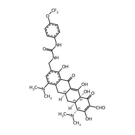 CN(C)c1cc(CNC(=O)Nc2ccc(OC(F)(F)F)cc2)c(O)c2c1C[C@@H]1C[C@@H]3[C@@H](N(C)C)C(O)=C(C=O)C(=O)[C@]3(O)C(O)=C1C2=O